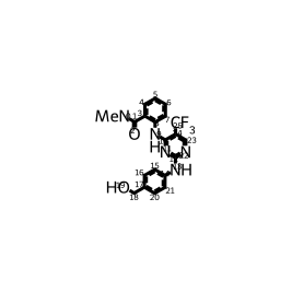 CNC(=O)c1ccccc1Nc1nc(Nc2ccc(CO)cc2)ncc1C(F)(F)F